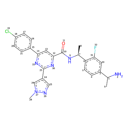 CC(N)c1ccc([C@H](C)NC(=O)c2cc(-c3ccc(Cl)cc3)nc(-c3cnn(C)c3)n2)c(F)c1